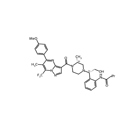 COc1ccc(-c2nc3c(C(=O)N4CCN([C@H](CO)c5ccccc5NC(=O)C(C)C)C[C@H]4C)cnn3c(C(F)(F)F)c2C)cc1